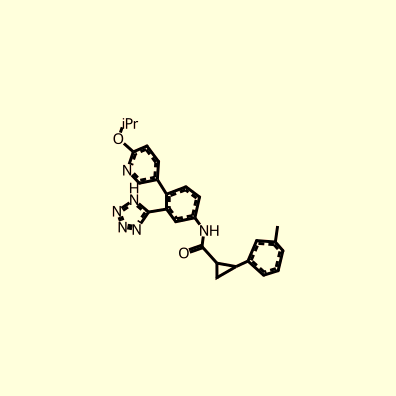 Cc1cccc(C2CC2C(=O)Nc2ccc(-c3ccc(OC(C)C)nc3)c(-c3nnn[nH]3)c2)c1